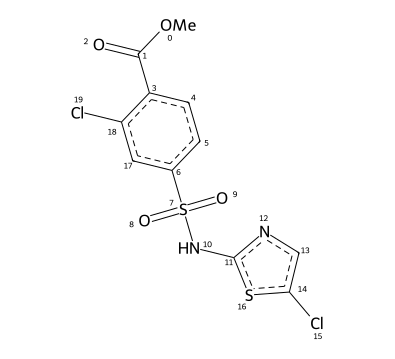 COC(=O)c1ccc(S(=O)(=O)Nc2ncc(Cl)s2)cc1Cl